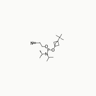 CC(C)N(C(C)C)P(OCCC#N)OC12CC(C(C)(C)C)(C1)C2